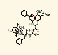 COc1cc(CC(Nc2cccc(-c3ccccc3)c2)C(=O)NC(C(=O)N[C@@H](Cc2ccccc2)B2O[C@@H]3C[C@@H]4C[C@@H](C4(C)C)[C@]3(C)O2)C(C)C)cc(OC)c1OC